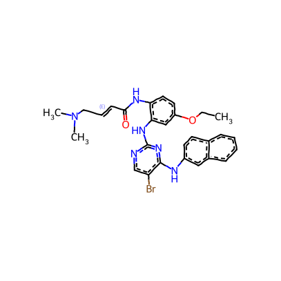 CCOc1ccc(NC(=O)/C=C/CN(C)C)c(Nc2ncc(Br)c(Nc3ccc4ccccc4c3)n2)c1